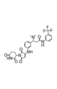 CN(C)C(CC(=O)Nc1cccc(C(F)(F)F)c1)c1cccc(NC2=CC(=O)N(C3CCC(=O)NC3=O)C2=O)c1